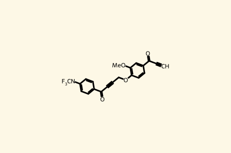 C#CC(=O)c1ccc(OCC#CC(=O)c2ccc(NC(F)(F)F)cc2)c(OC)c1